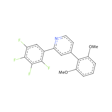 COc1cccc(OC)c1-c1ccnc(-c2cc(F)c(F)c(F)c2F)c1